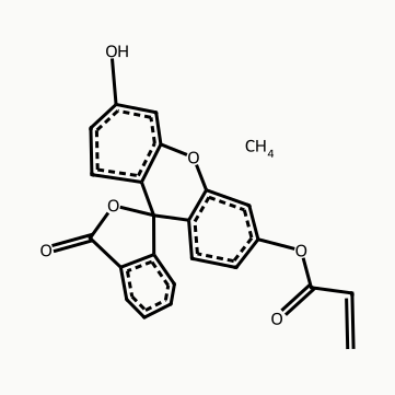 C.C=CC(=O)Oc1ccc2c(c1)Oc1cc(O)ccc1C21OC(=O)c2ccccc21